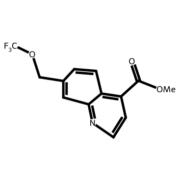 COC(=O)c1ccnc2cc(COC(F)(F)F)ccc12